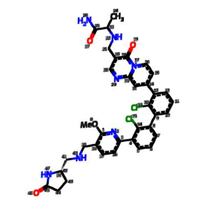 COc1nc(-c2cccc(-c3cccc(-c4ccn5c(=O)c(CNC(C)C(N)=O)cnc5c4)c3Cl)c2Cl)ccc1CNC[C@@H]1CCC(=O)N1